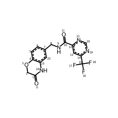 O=C1COc2ccc(CNC(=O)c3cc(C(F)(F)F)ncn3)cc2N1